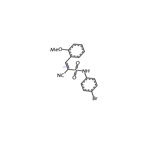 COc1ccccc1/C=C(/C#N)S(=O)(=O)Nc1ccc(Br)cc1